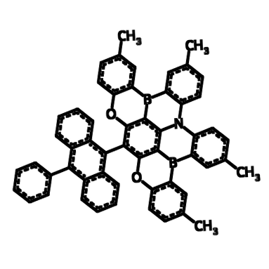 Cc1ccc2c(c1)B1c3cc(C)ccc3N3c4ccc(C)cc4B4c5cc(C)ccc5Oc5c4c3c1c(c5-c1c3ccccc3c(-c3ccccc3)c3ccccc13)O2